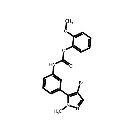 COc1ccccc1OC(=O)Nc1cccc(-c2c(Br)cnn2C)c1